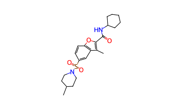 Cc1c(C(=O)NC2CCCCC2)oc2ccc(S(=O)(=O)N3CCC(C)CC3)cc12